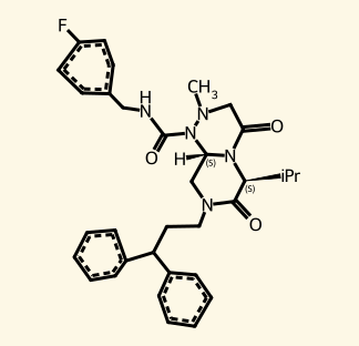 CC(C)[C@H]1C(=O)N(CCC(c2ccccc2)c2ccccc2)C[C@H]2N1C(=O)CN(C)N2C(=O)NCc1ccc(F)cc1